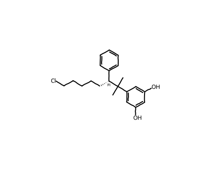 CC(C)(c1cc(O)cc(O)c1)[C@H](CCCCCCl)c1ccccc1